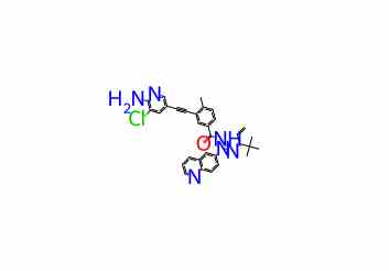 C=C/C(=N\N(NC(=O)c1ccc(C)c(C#Cc2cnc(N)c(Cl)c2)c1)c1ccc2ncccc2c1)C(C)(C)C